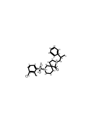 Cc1c(Cl)cccc1S(=O)(=O)N1CCCC2(CCN(CC(C)c3ccccc3)C2=O)C1